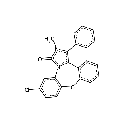 Cn1c(-c2ccccc2)c2n(c1=O)-c1cc(Cl)ccc1Oc1ccccc1-2